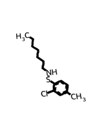 CCCCCCCNSc1ccc(C)cc1Cl